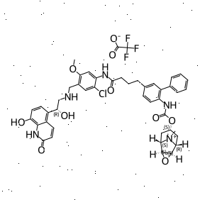 COc1cc(NC(=O)CCCc2ccc(NC(=O)O[C@@H]3C[C@@H]4[C@H]5O[C@H]5[C@H](C3)[N+]4(C)C)c(-c3ccccc3)c2)c(Cl)cc1CNC[C@H](O)c1ccc(O)c2[nH]c(=O)ccc12.O=C([O-])C(F)(F)F